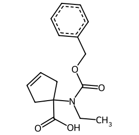 CCN(C(=O)OCc1ccccc1)C1(C(=O)O)CC=CC1